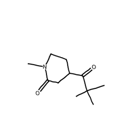 CN1CCC(C(=O)C(C)(C)C)CC1=O